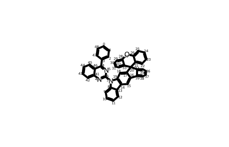 c1ccc(-c2nc(-n3c4ccccc4c4cc5c(cc43)C3(c4ccccc4Oc4ccccc43)c3ccccc3-5)nc3ccccc23)cc1